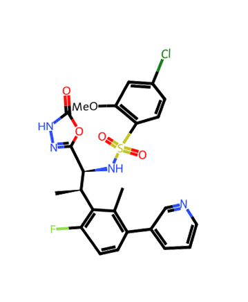 COc1cc(Cl)ccc1S(=O)(=O)N[C@H](c1n[nH]c(=O)o1)[C@H](C)c1c(F)ccc(-c2cccnc2)c1C